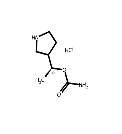 C[C@H](OC(N)=O)C1CCNC1.Cl